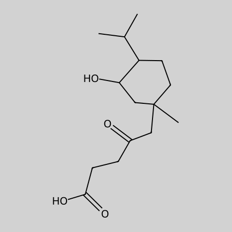 CC(C)C1CCC(C)(CC(=O)CCC(=O)O)CC1O